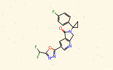 O=C1c2cc(-c3nnc(C(F)F)o3)cnc2CN1C1(c2ccc(F)cc2)CC1